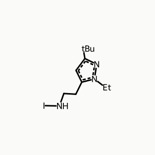 CCn1nc(C(C)(C)C)cc1CCNI